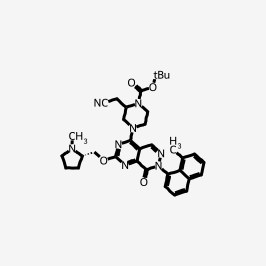 Cc1cccc2cccc(-n3ncc4c(N5CCN(C(=O)OC(C)(C)C)C(CC#N)C5)nc(OC[C@@H]5CCCN5C)nc4c3=O)c12